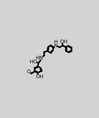 O=Cc1cc(C(O)CNCCc2ccc(NCC(O)c3ccccc3)cc2)ccc1O